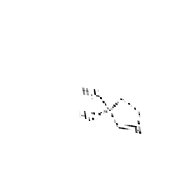 CC1(C)C=NCS1